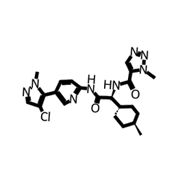 Cn1nncc1C(=O)N[C@H](C(=O)Nc1ccc(-c2c(Cl)cnn2C)cn1)[C@H]1CC[C@H](C)CC1